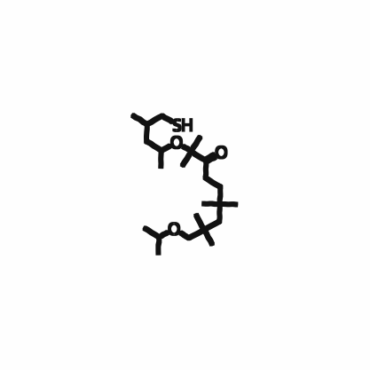 CC(CS)CC(C)OC(C)(C)C(=O)CCC(C)(C)CC(C)(C)COC(C)C